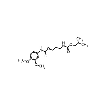 COc1ccc(NC(=O)OCCCNC(=O)OCC(C)C)cc1OC